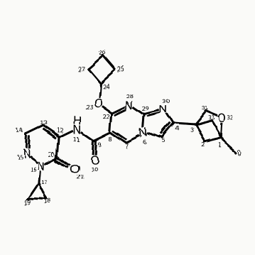 CC12CC(c3cn4cc(C(=O)Nc5ccnn(C6CC6)c5=O)c(OC5CCC5)nc4n3)(CO1)C2